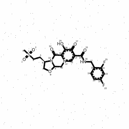 CS(=O)(=O)CC[C@@H]1COC2Cn3cc(C(=O)NCc4ccc(F)cc4F)c(=O)c(O)c3C(=O)N21